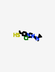 CC(S)c1ccc(N2CCN(CCN(C)C3CC3)CC2)c(Cl)c1